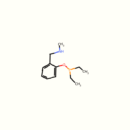 CCP(CC)Oc1ccccc1CNC